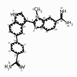 Cn1c(-c2c[nH]c3ccc(-c4ccc(C(=N)N)cc4)cc23)nc2ccc(C(=N)N)cc21